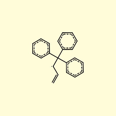 C=C[CH]C(c1ccccc1)(c1ccccc1)c1ccccc1